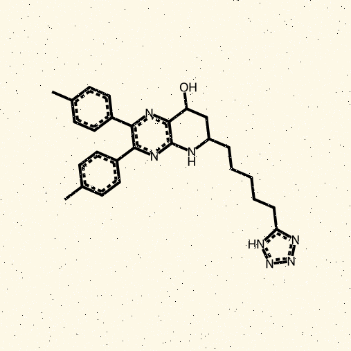 Cc1ccc(-c2nc3c(nc2-c2ccc(C)cc2)C(O)CC(CCCCCc2nnn[nH]2)N3)cc1